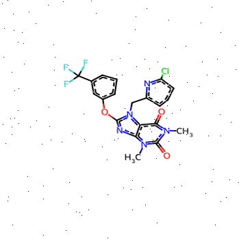 Cn1c(=O)c2c(nc(Oc3cccc(C(F)(F)F)c3)n2Cc2cccc(Cl)n2)n(C)c1=O